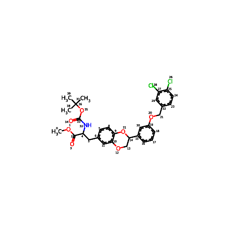 COC(=O)C(Cc1ccc2c(c1)OCC(c1cccc(OCc3ccc(Cl)c(Cl)c3)c1)O2)NC(=O)OC(C)(C)C